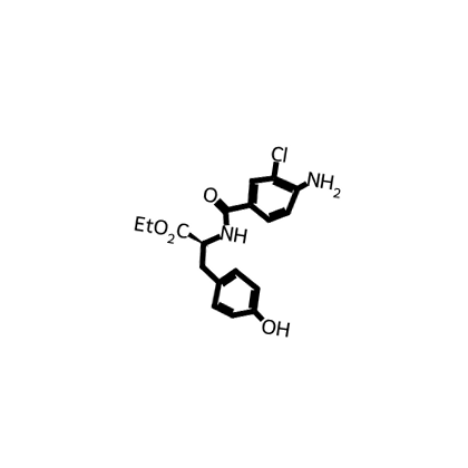 CCOC(=O)[C@H](Cc1ccc(O)cc1)NC(=O)c1ccc(N)c(Cl)c1